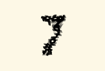 Cn1ncc(-c2nc(N[C@H]3CC[C@H](NCCCN4CCC(c5cc(F)cc6c5CN(C5CCC(=O)NC5=O)C6=O)CC4)CC3)ncc2Cl)c1CC1CC1